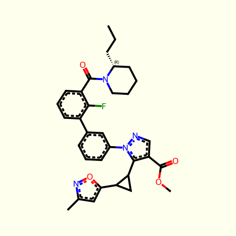 CCC[C@@H]1CCCCN1C(=O)c1cccc(-c2cccc(-n3ncc(C(=O)OC)c3C3CC3c3cc(C)no3)c2)c1F